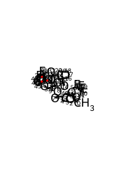 CC1CC2CC(C(=O)OCC3(COC(=O)C45CCCC(CC(C6OCC(F)(F)C(F)(F)CO6)C4)C5)COC4(OC3)C3CC5CC(C3)CC4C5)CC(C2)C12OCC(F)(F)C(F)(F)CO2